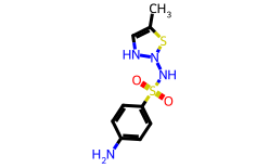 CC1=CNN(NS(=O)(=O)c2ccc(N)cc2)S1